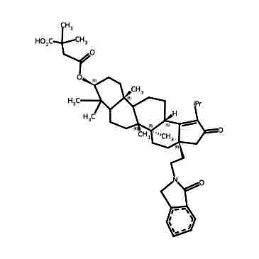 CC(C)C1=C2[C@H]3CCC4[C@@]5(C)CC[C@H](OC(=O)CC(C)(C)C(=O)O)C(C)(C)C5CC[C@@]4(C)[C@]3(C)CC[C@@]2(CCN2Cc3ccccc3C2=O)CC1=O